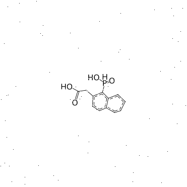 O=C(O)Cc1ccc2ccccc2c1[PH](=O)O